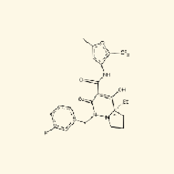 CC[C@]12CCCN1N(Cc1cccc(F)c1)C(=O)C(C(=O)Nc1cc(C)oc1C(F)(F)F)=C2O